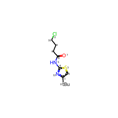 CC(C)(C)c1csc(NC(=O)CCCCl)n1